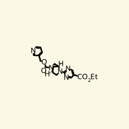 CCOC(=O)c1cnc(N2C[C@@H]3C[C@H]2CN3C(=O)OCc2cccnc2)nc1